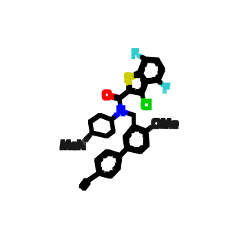 C#Cc1ccc(-c2ccc(OC)c(CN(C(=O)c3sc4c(F)ccc(F)c4c3Cl)[C@H]3CC[C@@H](NC)CC3)c2)cc1